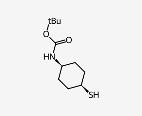 CC(C)(C)OC(=O)N[C@H]1CC[C@@H](S)CC1